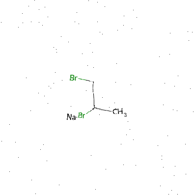 CC(Br)CBr.[Na]